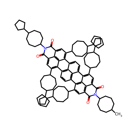 CC1CCCC(N2C(=O)c3cc(C4CCCC(C5CCCC5)CCC4)c4c5ccc6c7c(C8CCCC(C9CCCC9)CCC8)cc8c9c(cc(C%10CCCC(C%11CCCC%11)CCC%10)c(c%10ccc(c%11c(C%12CCCC(C%13CCCC%13)CCC%12)cc(c3c4%11)C2=O)c5c6%10)c97)C(=O)N(C2CCCC(C3CCCC3)CCC2)C8=O)CCC1